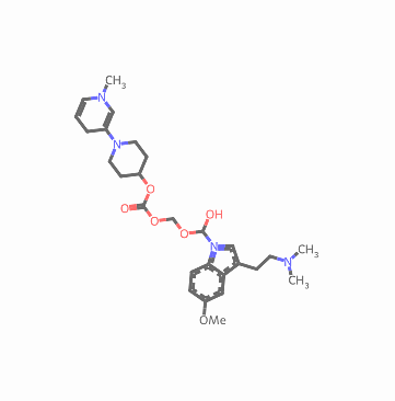 COc1ccc2c(c1)c(CCN(C)C)cn2C(O)OCOC(=O)OC1CCN(C2=CN(C)C=CC2)CC1